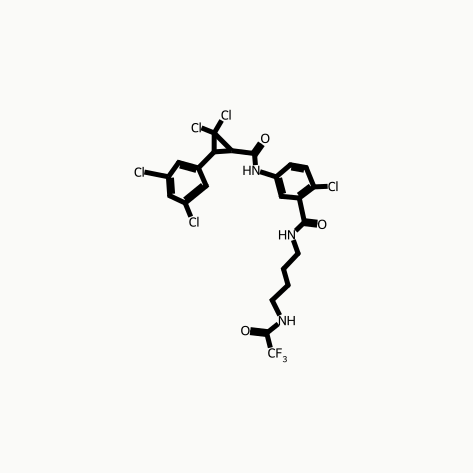 O=C(NCCCCNC(=O)C(F)(F)F)c1cc(NC(=O)C2C(c3cc(Cl)cc(Cl)c3)C2(Cl)Cl)ccc1Cl